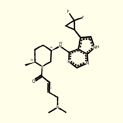 C[C@H]1CC[C@@H](Nc2ncnc3[nH]cc(C4CC4(F)F)c23)CN1C(=O)/C=C/CN(C)C